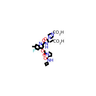 Cc1cc2nc(C(=O)N[C@@H](CCC(=O)O)C(=O)N3CCN(C(=O)O)CC3)cc(OCC(=O)N3CCC[C@H]3C(=O)NC3CCC3)c2cc1F